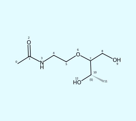 CC(=O)NCCOC(CO)[C@H](C)O